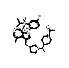 CC(=O)N1CCC([C@@H](C)N2CC[C@@H](Cc3cn(-c4ccc(F)cc4S(=N)(=O)C(C)C)c4cncc(C)c34)C2)CC1